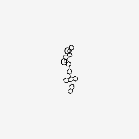 c1ccc2cc(-c3c4ccccc4c(-c4ccc(-c5ccc6c(c5)oc5ccc7c(ccc8c9ccccc9oc87)c56)cc4)c4ccccc34)ccc2c1